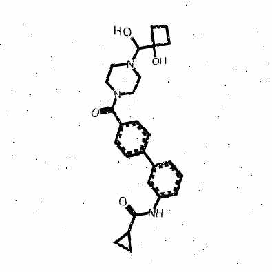 O=C(Nc1cccc(-c2ccc(C(=O)N3CCN(C(O)C4(O)CCC4)CC3)cc2)c1)C1CC1